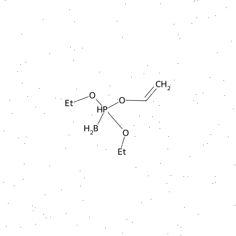 B[PH](OC=C)(OCC)OCC